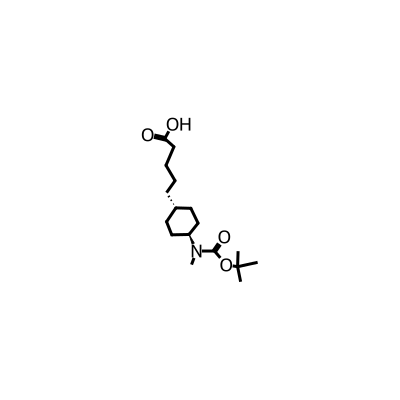 CN(C(=O)OC(C)(C)C)[C@H]1CC[C@H](CCCCC(=O)O)CC1